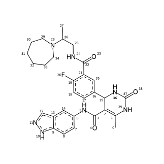 CC1=C(C(=O)Nc2ccc3[nH]ncc3c2)C(c2ccc(F)c(C(=O)NCC(C)N3CCCCCC3)c2)NC(=O)N1